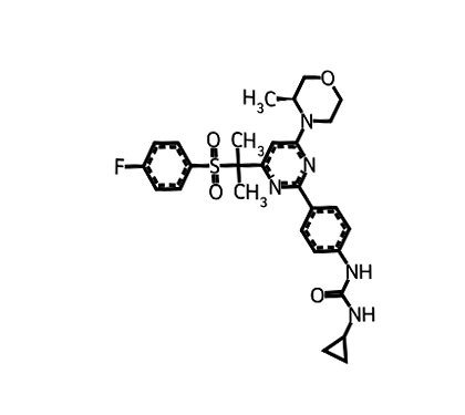 C[C@H]1COCCN1c1cc(C(C)(C)S(=O)(=O)c2ccc(F)cc2)nc(-c2ccc(NC(=O)NC3CC3)cc2)n1